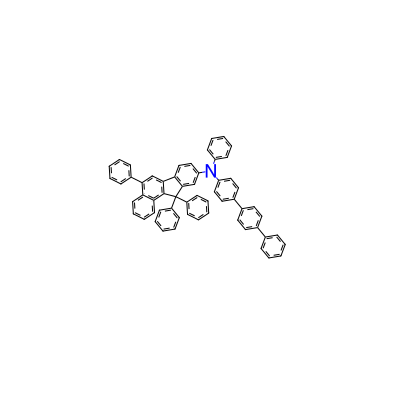 c1ccc(-c2ccc(-c3ccc(N(c4ccccc4)c4ccc5c(c4)C(c4ccccc4)(c4ccccc4)c4c-5cc(-c5ccccc5)c5ccccc45)cc3)cc2)cc1